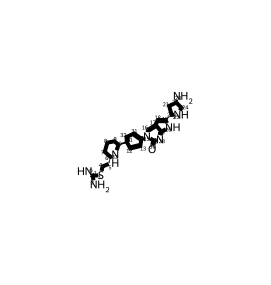 N=C(N)SCC[C@@H]1CCC[C@@H](c2ccc(-n3cc4cc([C@@H]5C[C@@H](N)CN5)[nH]c4nc3=O)cc2)N1